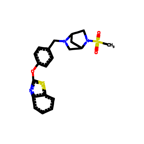 CS(=O)(=O)N1CC2CC1CN2Cc1ccc(Oc2nc3ccccc3s2)cc1